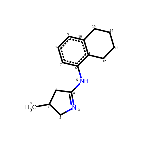 CC1CN=C(Nc2cccc3c2CCCC3)C1